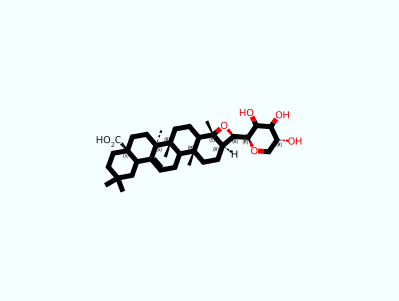 CC1(C)CC[C@]2(C(=O)O)CC[C@]3(C)C(=CCC4[C@@]5(C)CC[C@@H]6[C@H]([C@@H]7OC[C@@H](O)C(O)C7O)O[C@@]6(C)C5CC[C@]43C)C2C1